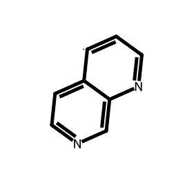 [c]1ccnc2cnccc12